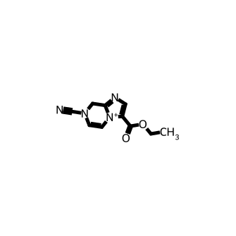 CCOC(=O)C1=CN=C2CN(C#N)C=C[N+]12